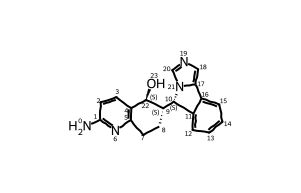 Nc1ccc2c(n1)CC[C@@H]([C@H]1c3ccccc3-c3cncn31)[C@@H]2O